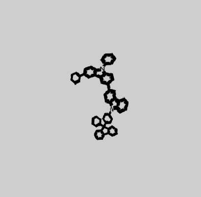 C1=CCCC(C2(C3=CC=C(n4c5ccccc5c5cc(-c6ccc7c(c6)c6cc(C8=CCCC=C8)ccc6n7-c6ccccc6)ccc54)CC3)c3ccccc3-c3ccccc32)=C1